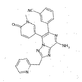 Cn1cc(-c2c(-c3cccc(C#N)c3)nc(N)c3nc(Cc4ccccn4)nn23)ccc1=O